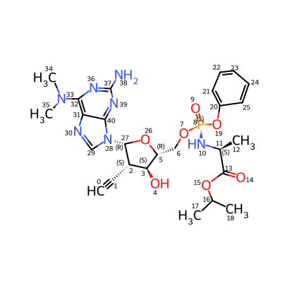 C#C[C@H]1[C@H](O)[C@@H](CO[P@@](=O)(N[C@@H](C)C(=O)OC(C)C)Oc2ccccc2)O[C@H]1n1cnc2c(N(C)C)nc(N)nc21